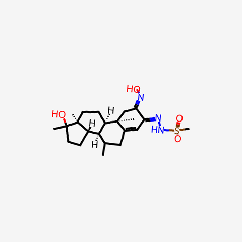 CC1CC2=CC(=NNS(C)(=O)=O)C(=NO)C[C@]2(C)[C@@H]2CC[C@@]3(C)[C@@H](CCC3(C)O)[C@H]12